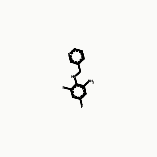 Nc1cc(F)cc(F)c1NCc1cccnc1